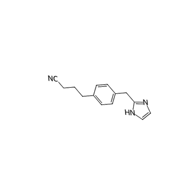 N#CCCCc1ccc(Cc2ncc[nH]2)cc1